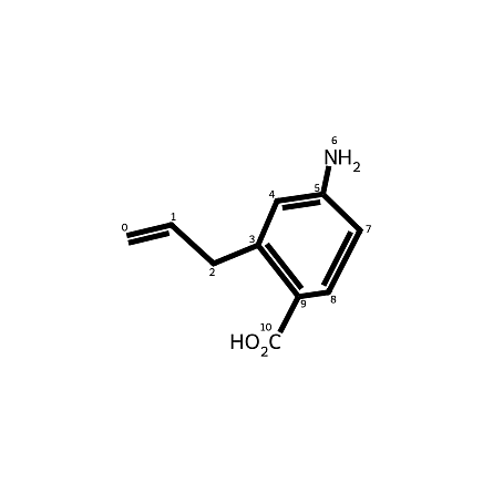 C=CCc1cc(N)ccc1C(=O)O